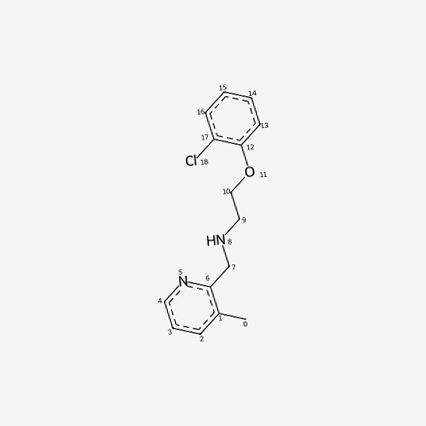 Cc1cccnc1CNCCOc1ccccc1Cl